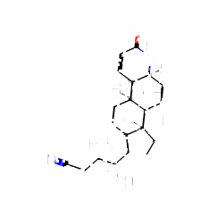 C[C@H](CCC#N)[C@H]1CC[C@H]2[C@@H]3CC[C@H]4NC(=O)C=C[C@]4(C)[C@H]3CC[C@]12C